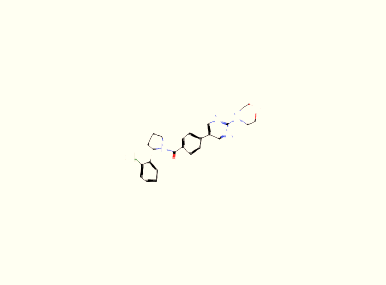 O=C(c1ccc(-c2cnc(N3CCOCC3)nc2)cc1)N1CCC[C@@H]1c1ccccc1Cl